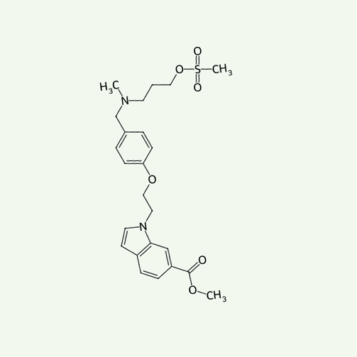 COC(=O)c1ccc2ccn(CCOc3ccc(CN(C)CCCOS(C)(=O)=O)cc3)c2c1